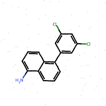 Nc1cccc2c(-c3cc(Cl)cc(Cl)c3)cccc12